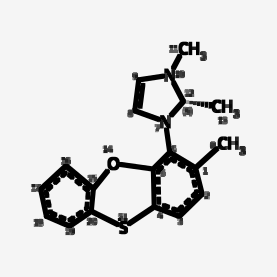 Cc1ccc2c(c1N1C=CN(C)[C@@H]1C)Oc1ccccc1S2